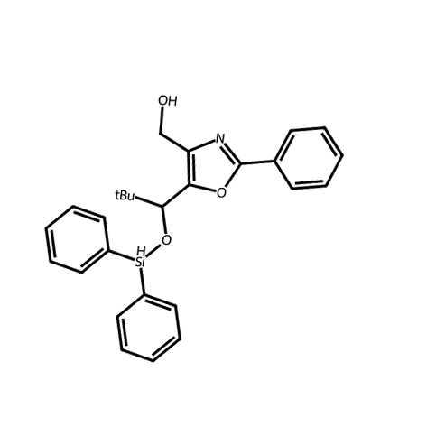 CC(C)(C)C(O[SiH](c1ccccc1)c1ccccc1)c1oc(-c2ccccc2)nc1CO